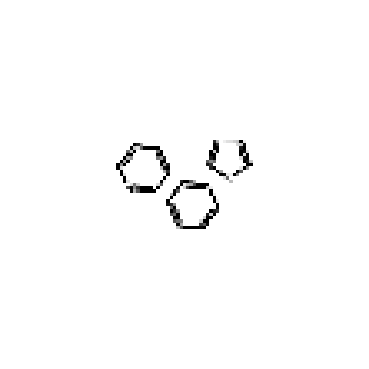 c1ccccc1.c1ccncc1.c1ccsc1